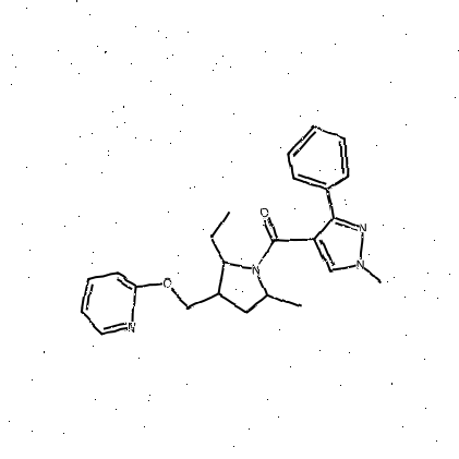 CCC1C(COc2ccccn2)CC(C)N1C(=O)c1cn(C)nc1-c1ccccc1